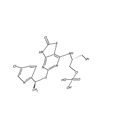 CC(C)C[C@H](COP(=O)(O)O)Nc1nc(S[C@@H](C)c2ccc(Cl)cn2)nc2[nH]c(=O)sc12